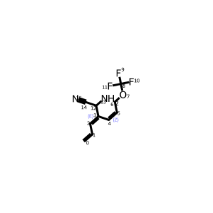 C=C/C=C(\C=C/COC(F)(F)F)C(N)C#N